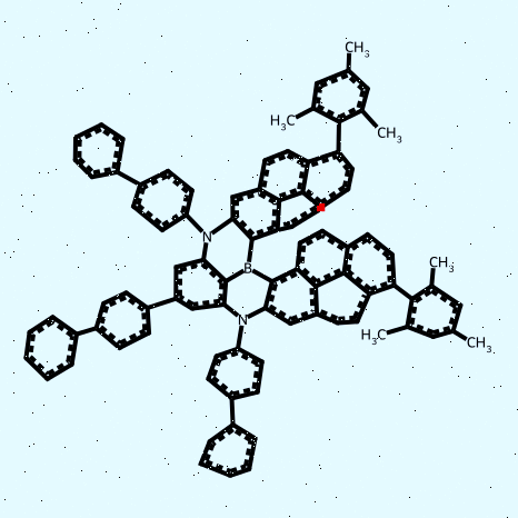 Cc1cc(C)c(-c2ccc3ccc4c5c(cc6ccc2c3c64)N(c2ccc(-c3ccccc3)cc2)c2cc(-c3ccc(-c4ccccc4)cc3)cc3c2B5c2c(cc4ccc5c(-c6c(C)cc(C)cc6C)ccc6ccc2c4c65)N3c2ccc(-c3ccccc3)cc2)c(C)c1